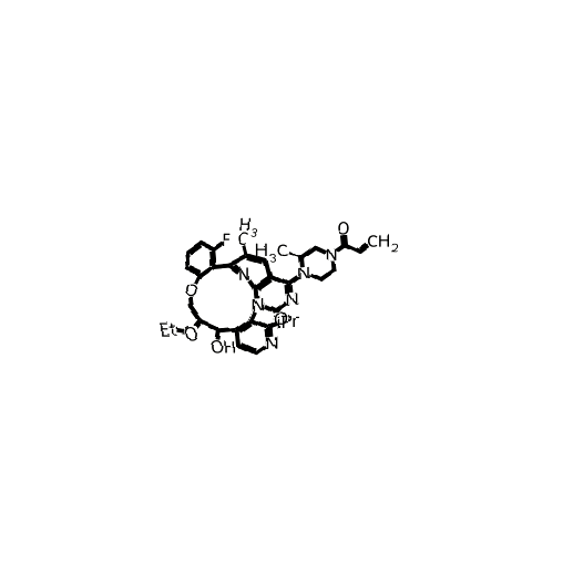 C=CC(=O)N1CCN(c2nc(=O)n3c4nc(c(C)cc24)-c2c(F)cccc2OCC(OCC)C(O)c2ccnc(C(C)C)c2-3)[C@@H](C)C1